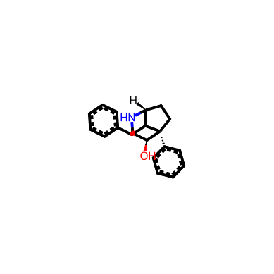 O[C@H]1CN[C@@H]2CC[C@]1(c1ccccc1)C2Cc1ccccc1